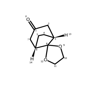 O=C1C[C@H]2CC[C@@H](C1)C21OCCO1